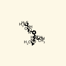 C=C(NC(=O)c1cc(-c2cccc(-c3ncc(C(=O)NC(CC)CC)o3)c2)nn1CC(C)(C)O)C1CC1